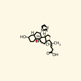 C[C@H](CCC(=O)O)[C@H]1CC[C@H]2[C@@H]3[C@@H](n4ccnn4)C[C@@H]4C[C@H](O)CC[C@]4(C)[C@H]3CC[C@]12C